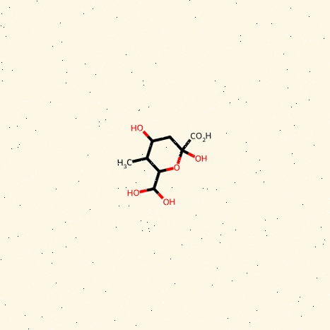 CC1C(O)CC(O)(C(=O)O)OC1C(O)O